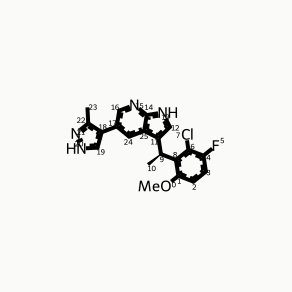 COc1ccc(F)c(Cl)c1[C@@H](C)c1c[nH]c2ncc(-c3c[nH]nc3C)cc12